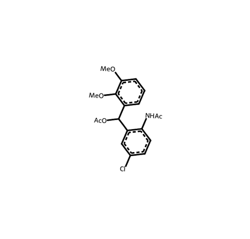 COc1cccc(C(OC(C)=O)c2cc(Cl)ccc2NC(C)=O)c1OC